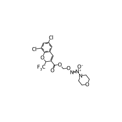 O=C(OCON=[N+]([O-])N1CCOCC1)C1=Cc2cc(Cl)cc(Cl)c2OC1C(F)(F)F